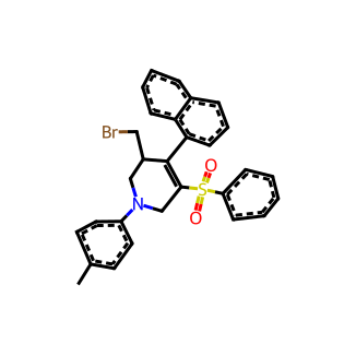 Cc1ccc(N2CC(S(=O)(=O)c3ccccc3)=C(c3cccc4ccccc34)C(CBr)C2)cc1